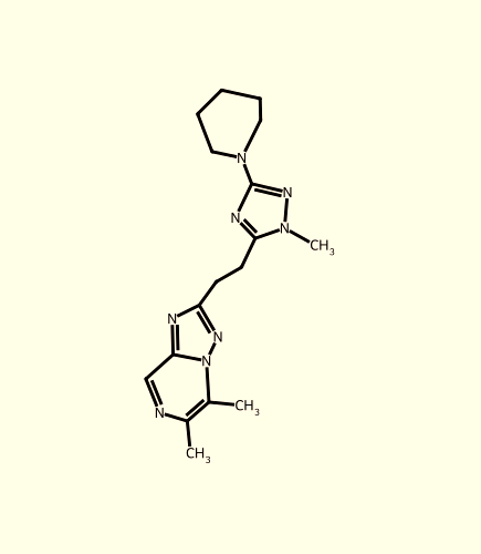 Cc1ncc2nc(CCc3nc(N4CCCCC4)nn3C)nn2c1C